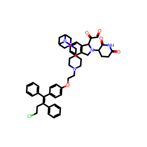 O=CC(=O)C1c2cc(N3C4CC3CN(CC3CCN(CCOc5ccc(C(=C(CCCl)c6ccccc6)c6ccccc6)cc5)CC3)C4)ccc2CN1C1CCC(=O)NC1=O